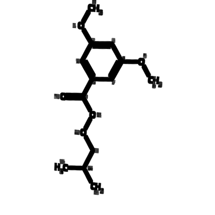 COc1cc(OC)cc(C(=O)OO[CH]C(C)C)c1